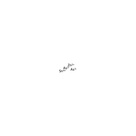 [As-3].[As-3].[Sn+4].[Zn+2]